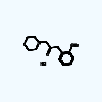 COc1ccccc1CC(=O)CN1CCOCC1.Cl